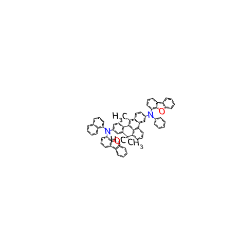 Cc1c2c3c(cccc3c3cc(N(c4ccccc4)c4cccc5c4oc4ccccc45)ccc13)C(C)(C)c1cc(N(c3cccc4ccccc34)c3cccc4c3oc3ccccc34)ccc1-2